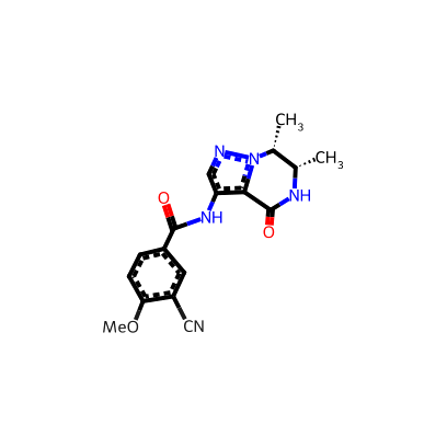 COc1ccc(C(=O)Nc2cnn3c2C(=O)N[C@@H](C)[C@H]3C)cc1C#N